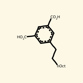 [CH2]CCCCCCCCCc1cc(C(=O)O)cc(C(=O)O)c1